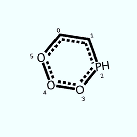 c1c[pH]ooo1